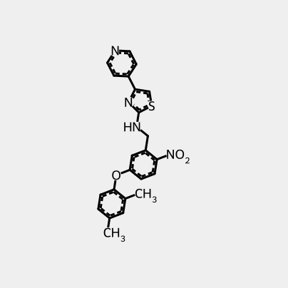 Cc1ccc(Oc2ccc([N+](=O)[O-])c(CNc3nc(-c4ccncc4)cs3)c2)c(C)c1